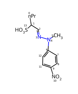 [CH2]CCC(C=NN(C)c1ccc([N+](=O)[O-])cc1)S(=O)(=O)O